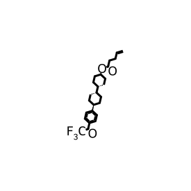 C=CCCC(=O)O[C@H]1CC[C@H]([C@H]2CC[C@H](c3ccc(C(=O)C(F)(F)F)cc3)CC2)CC1